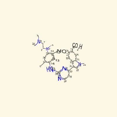 Cc1cc(N(C)CCN(C)C)c([N+](=O)[O-])cc1Nc1nccc(-c2cn(C)c3cc(C(=O)O)ccc23)n1